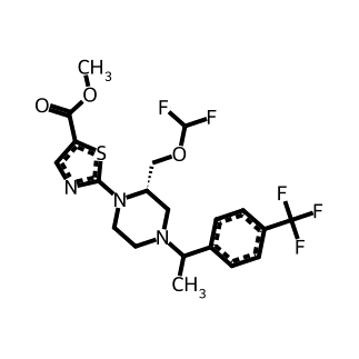 COC(=O)c1cnc(N2CCN(C(C)c3ccc(C(F)(F)F)cc3)C[C@H]2COC(F)F)s1